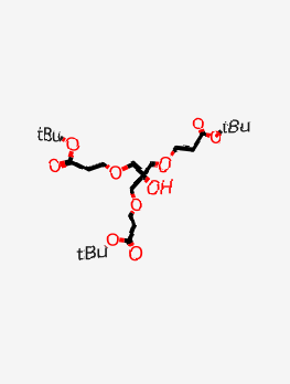 CC(C)(C)OC(=O)CCOCC(O)(COCCC(=O)OC(C)(C)C)COCCC(=O)OC(C)(C)C